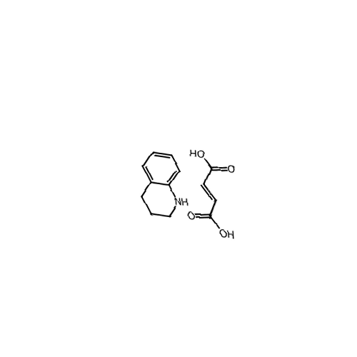 O=C(O)C=CC(=O)O.c1ccc2c(c1)CCCN2